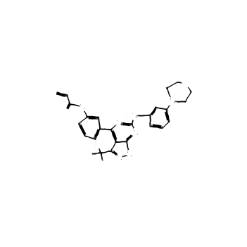 C=CC(=O)Nc1cccc(-c2nc(Nc3cccc(N4CCOCC4)c3)nc3[nH]nc(C(F)(F)F)c23)c1